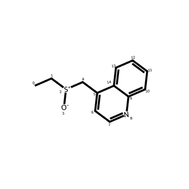 CC[S+]([O-])Cc1ccnc2ccccc12